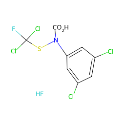 F.O=C(O)N(SC(F)(Cl)Cl)c1cc(Cl)cc(Cl)c1